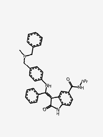 CCCNC(=O)c1ccc2c(c1)C(=C(Nc1ccc(CN(C)Cc3ccccc3)cc1)c1ccccc1)C(=O)N2